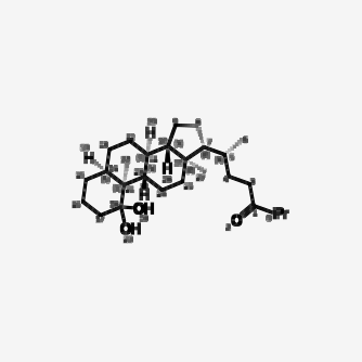 CC(C)C(=O)CC[C@@H](C)[C@H]1CC[C@H]2[C@@H]3CC[C@@H]4CCCC(O)(O)[C@]4(C)[C@H]3CC[C@]12C